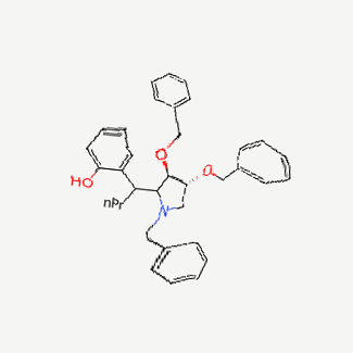 CCCC(c1ccccc1O)C1[C@@H](OCc2ccccc2)[C@H](OCc2ccccc2)CN1Cc1ccccc1